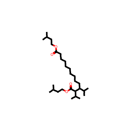 CC(C)CCOC(=O)CCCCCCCCCC(C(C)C)C(C(=O)OCCC(C)C)C(C)C